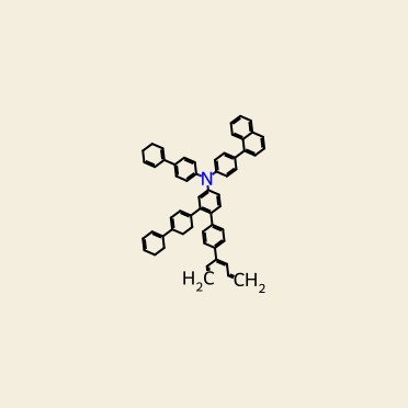 C=C/C=C(\C=C)c1ccc(-c2ccc(N(c3ccc(C4=CCCC=C4)cc3)c3ccc(-c4cccc5ccccc45)cc3)cc2C2=CC=C(C3=CC=CCC3)CC2)cc1